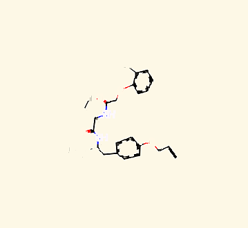 C=CCOc1ccc(C[C@H](NC(=O)[C@H](CC(C)C)NC(=O)COc2ccccc2C(C)(C)C)C(=O)O)cc1